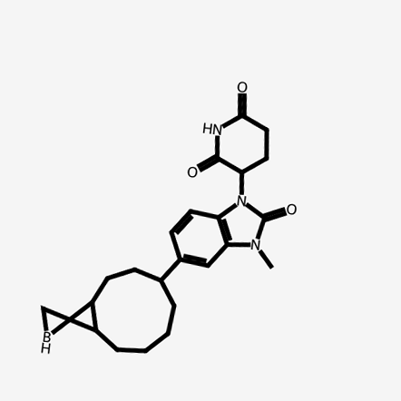 Cn1c(=O)n(C2CCC(=O)NC2=O)c2ccc(C3CCCCC4C(CC3)C43BC3)cc21